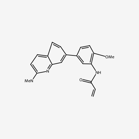 C=CC(=O)Nc1cc(-c2ccc3ccc(NC)nc3c2)ccc1OC